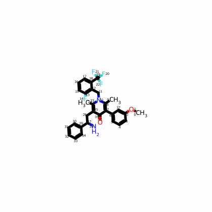 COc1cccc(-c2c(C)n(Cc3c(F)cccc3C(F)(F)F)c(C)c(CC(N)c3ccccc3)c2=O)c1